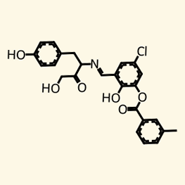 Cc1cccc(C(=O)Oc2cc(Cl)cc(C=NC(Cc3ccc(O)cc3)C(=O)CO)c2O)c1